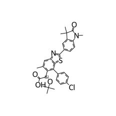 Cc1cc2nc(-c3ccc4c(c3)C(C)(C)C(=O)N4C)sc2c(-c2ccc(Cl)cc2)c1[C@H](OC(C)(C)C)C(=O)O